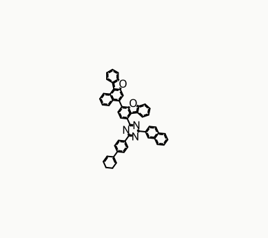 C1=CC(c2ccc(-c3nc(-c4ccc5ccccc5c4)nc(-c4ccc(-c5cc6oc7ccccc7c6c6ccccc56)c5oc6ccccc6c45)n3)cc2)=CCC1